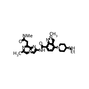 CCNC1CCN(c2ccc(C(=O)Nc3cn4cc(C)nc(CC(=O)NC)c4n3)c3nn(C)cc23)CC1